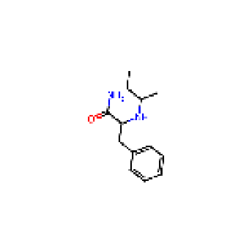 CCC(C)NC(Cc1ccccc1)C(N)=O